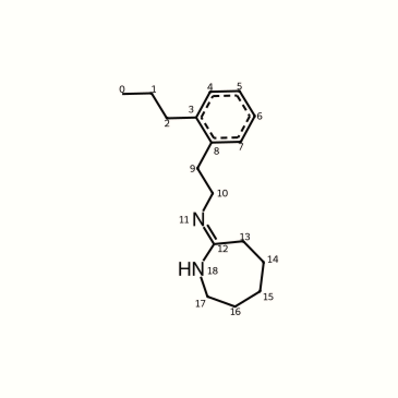 CCCc1ccccc1CCN=C1CCCCCN1